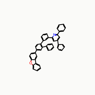 c1ccc(-c2cc(-c3ccccc3)nc(-c3cccc(-c4ccc(-c5ccc6oc7ccccc7c6c5)cc4-c4ccccc4)c3)c2)cc1